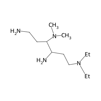 CCN(CC)CCC(N)C(CCN)N(C)C